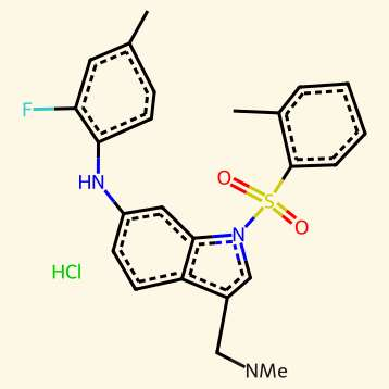 CNCc1cn(S(=O)(=O)c2ccccc2C)c2cc(Nc3ccc(C)cc3F)ccc12.Cl